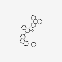 c1ccc(-c2ccc3ccc4ccc(-c5cc6oc7cc8c9ccccc9c9ccccc9c8cc7c6c6ccccc56)nc4c3n2)cc1